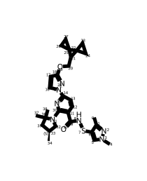 Cc1nn(C)cc1SNC(=O)c1ccc(-n2ccc(OCC3C4(CC4)C34CC4)n2)nc1N1C[C@@H](C)CC1(C)C